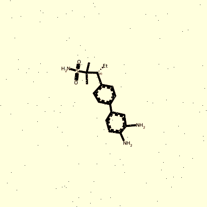 CC[C@H](c1ccc(-c2ccc(N)c(N)c2)cc1)C(C)(C)S(N)(=O)=O